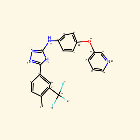 Cc1ccc(-c2nnc(Nc3ccc(Oc4cccnc4)cc3)[nH]2)cc1C(F)(F)F